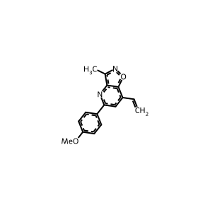 C=Cc1cc(-c2ccc(OC)cc2)nc2c(C)noc12